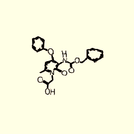 Cc1cc(Oc2ccccc2)c(NC(=O)OCc2ccccc2)c(=O)n1CC(=O)O